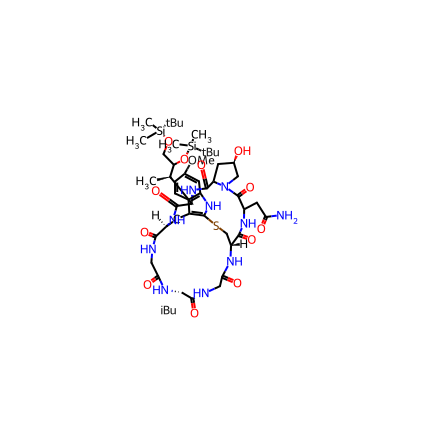 CC[C@H](C)[C@@H]1NC(=O)CNC(=O)[C@@H]2Cc3c([nH]c4cc(OC)ccc34)SC[C@@H](NC(=O)CNC1=O)C(=O)NC(CC(N)=O)C(=O)N1C[C@H](O)CC1C(=O)N[C@H]([C@@H](C)C(CO[Si](C)(C)C(C)(C)C)O[Si](C)(C)C(C)(C)C)C(=O)N2